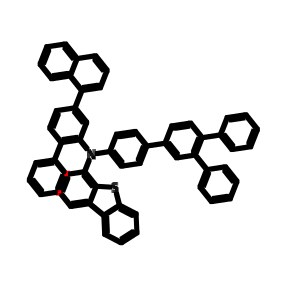 c1ccc(-c2ccc(-c3ccc(N(c4cc(-c5cccc6ccccc56)ccc4-c4ccccc4)c4cccc5c4sc4ccccc45)cc3)cc2-c2ccccc2)cc1